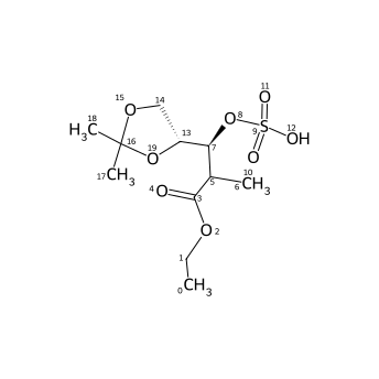 CCOC(=O)C(C)[C@H](OS(=O)(=O)O)[C@H]1COC(C)(C)O1